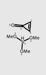 CO[SiH](OC)OC.O=c1cc1